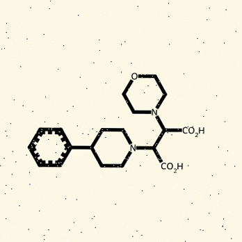 O=C(O)C(C(C(=O)O)N1CCC(c2ccccc2)CC1)N1CCOCC1